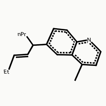 CC/C=C/C(CCC)c1ccc2nccc(C)c2c1